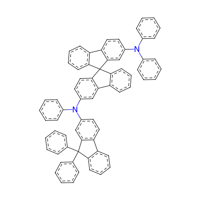 c1ccc(N(c2ccc3c(c2)-c2ccccc2C32c3ccccc3-c3ccc(N(c4ccccc4)c4ccccc4)cc32)c2ccc3c(c2)C(c2ccccc2)(c2ccccc2)c2ccccc2-3)cc1